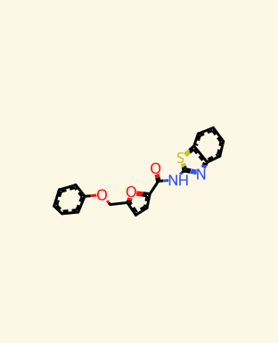 O=C(Nc1nc2ccccc2s1)c1ccc(COc2ccccc2)o1